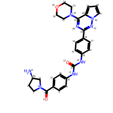 N[C@@H]1CCN(C(=O)c2ccc(NC(=O)Nc3ccc(-c4nc(N5CCOCC5)c5cccn5n4)cc3)cc2)C1